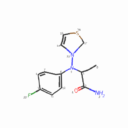 CC(C(N)=O)N(c1ccc(F)cc1)N1C=CSC1